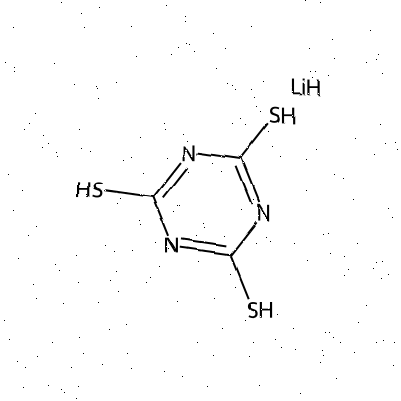 Sc1nc(S)nc(S)n1.[LiH]